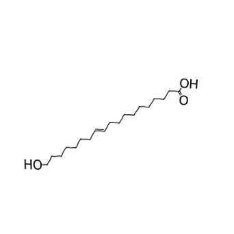 O=C(O)CCCCCCCCCC=CCCCCCCCO